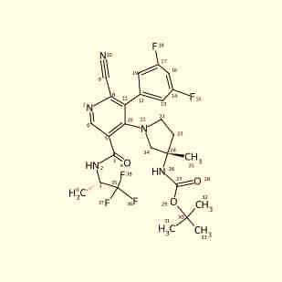 C[C@H](NC(=O)c1cnc(C#N)c(-c2cc(F)cc(F)c2)c1N1CC[C@](C)(NC(=O)OC(C)(C)C)C1)C(F)(F)F